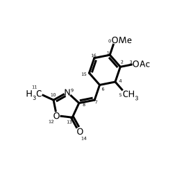 COC1=C(OC(C)=O)C(C)C(/C=C2\N=C(C)OC2=O)C=C1